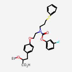 CCOC(Cc1ccc(OCCN(CCCSc2ccccc2)C(=O)Oc2cccc(F)c2)cc1)C(=O)O